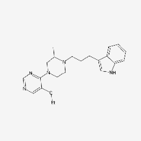 CCOc1cncnc1N1CCN(CCCc2c[nH]c3ccccc23)C(C)C1